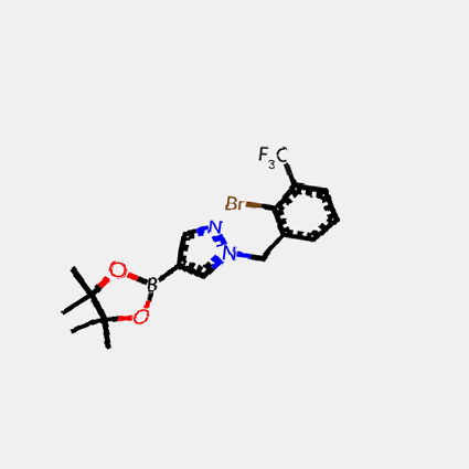 CC1(C)OB(c2cnn(Cc3cccc(C(F)(F)F)c3Br)c2)OC1(C)C